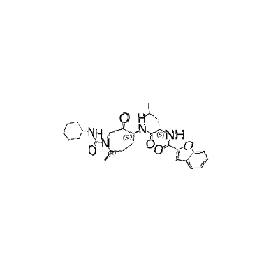 CC(C)C[C@H](NC(=O)c1cc2ccccc2o1)C(=O)N[C@H]1CC[C@@H](C)N(C(=O)NC2CCCCC2)CC1=O